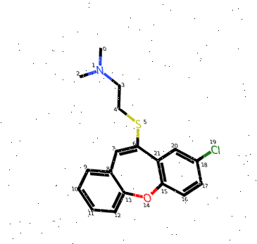 CN(C)CCSC1=Cc2ccccc2Oc2ccc(Cl)cc21